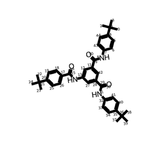 CC(C)(C)c1ccc(NC(=O)c2cc(NC(=O)c3ccc(C(C)(C)C)cc3)cc(C(=O)Nc3ccc(C(C)(C)C)cc3)c2)cc1